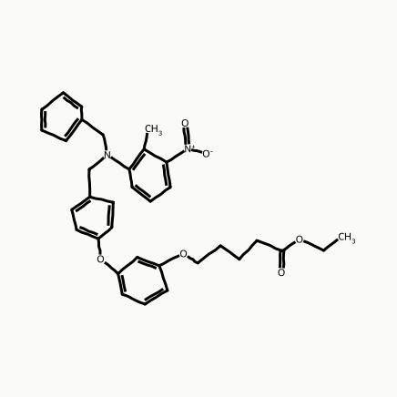 CCOC(=O)CCCCOc1cccc(Oc2ccc(CN(Cc3ccccc3)c3cccc([N+](=O)[O-])c3C)cc2)c1